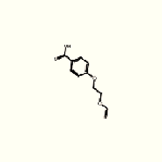 C=COCCOc1ccc(C(=O)O)cc1